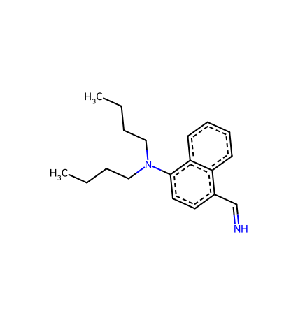 CCCCN(CCCC)c1ccc(C=N)c2ccccc12